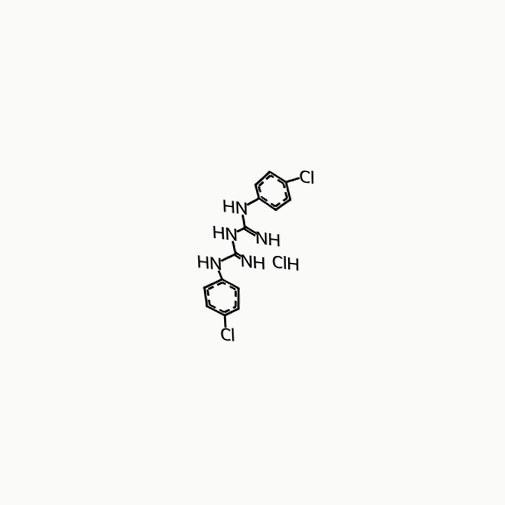 Cl.N=C(NC(=N)Nc1ccc(Cl)cc1)Nc1ccc(Cl)cc1